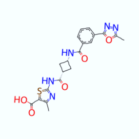 Cc1nnc(-c2cccc(C(=O)N[C@H]3C[C@@H](C(=O)Nc4nc(C)c(C(=O)O)s4)C3)c2)o1